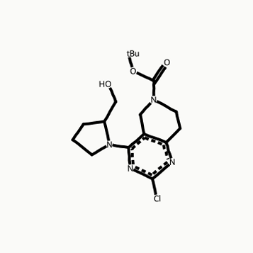 CC(C)(C)OC(=O)N1CCc2nc(Cl)nc(N3CCCC3CO)c2C1